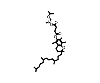 Cc1c(C)c2c(c(C)c1OC(=O)CCC(=O)ON(C)COC(C)C)CCC(C)(CCCC(C)CCCC(C)CCCC(C)C)O2